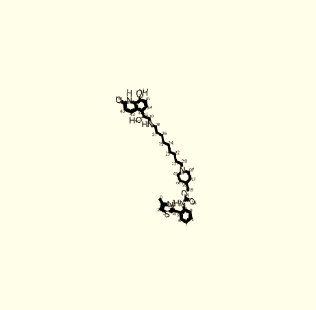 Cc1csc(-c2ccccc2NC(=O)OCC2CCN(CCCCCCCCCNC[C@H](O)c3ccc(O)c4[nH]c(=O)ccc34)CC2)n1